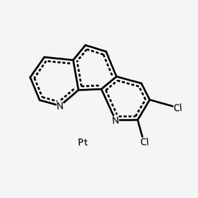 Clc1cc2ccc3cccnc3c2nc1Cl.[Pt]